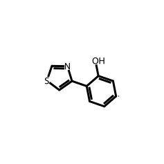 Oc1c[c]ccc1-c1cscn1